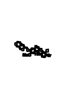 COc1cc2c(Nc3ccc(Br)c(Cl)c3Cl)ncnc2cc1OCC1CN2CCOCC2CO1